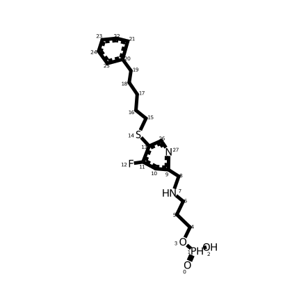 O=[PH](O)OCCCNCc1cc(F)c(SCCCCCc2ccccc2)cn1